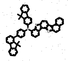 CC1(C)c2ccccc2-c2ccc(N(c3ccc(-c4cccc5c4C(C)(C)c4ccccc4-5)cc3)c3cccc4c3sc3ccc5c(oc6ccc7ccccc7c65)c34)cc21